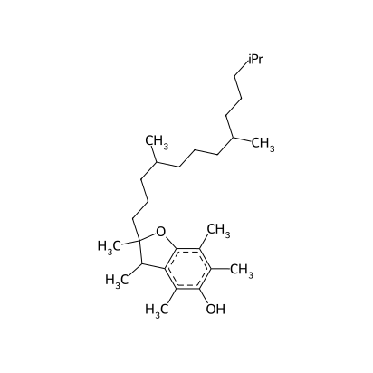 Cc1c(C)c2c(c(C)c1O)C(C)C(C)(CCCC(C)CCCC(C)CCCC(C)C)O2